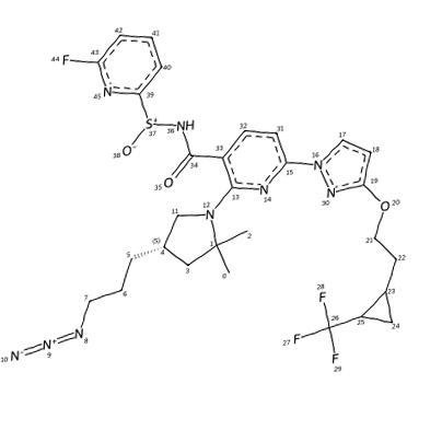 CC1(C)C[C@H](CCCN=[N+]=[N-])CN1c1nc(-n2ccc(OCCC3CC3C(F)(F)F)n2)ccc1C(=O)N[S+]([O-])c1cccc(F)n1